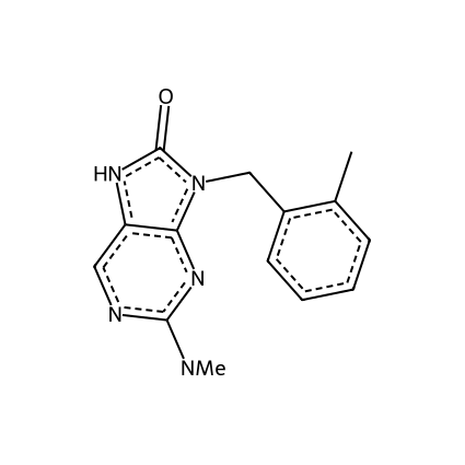 CNc1ncc2[nH]c(=O)n(Cc3ccccc3C)c2n1